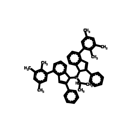 Cc1cc(C)c(C)c(-c2cccc3c2C=C(c2ccccc2)[CH]3[Zr]([CH]2C(c3ccccc3)=Cc3c(-c4cc(C)cc(C)c4C)cccc32)[SiH](C)C)c1